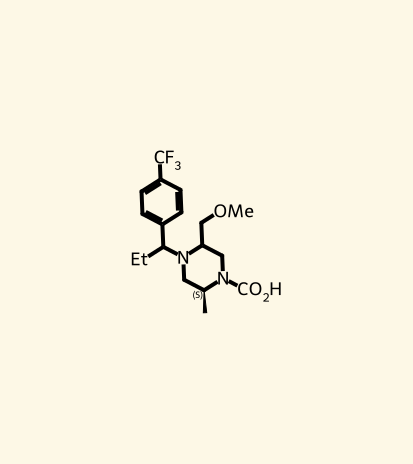 CCC(c1ccc(C(F)(F)F)cc1)N1C[C@H](C)N(C(=O)O)CC1COC